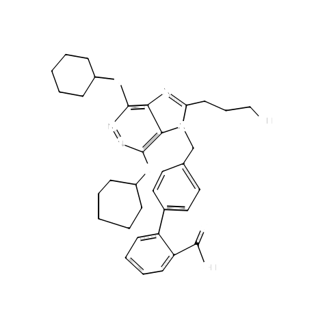 CCCCc1nc2c(OC3CCCCC3)nnc(OC3CCCCC3)c2n1Cc1ccc(-c2ccccc2C(=O)O)cc1